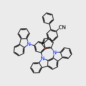 N#Cc1ccc(-c2cc(-n3c4ccccc4c4ccccc43)cc(-n3c4ccccc4c4ccc5c6ccccc6n(-c6ccccc6)c5c43)c2)cc1-c1ccccc1